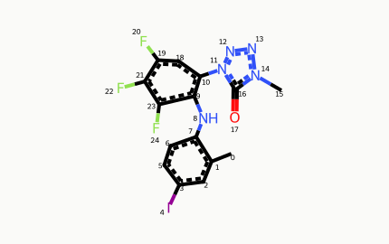 Cc1cc(I)ccc1Nc1c(-n2nnn(C)c2=O)cc(F)c(F)c1F